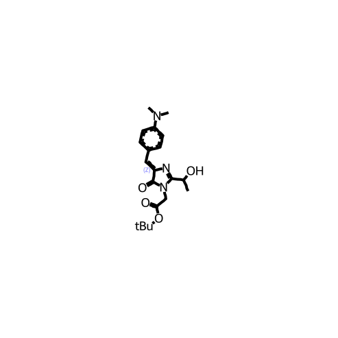 CC(O)C1=N/C(=C\c2ccc(N(C)C)cc2)C(=O)N1CC(=O)OC(C)(C)C